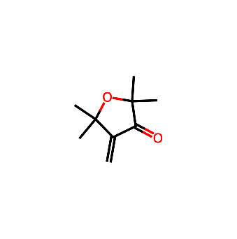 C=C1C(=O)C(C)(C)OC1(C)C